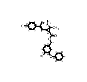 CC1(C)C(/C=C(\Br)c2ccc(Cl)cc2)C1C(=O)OCc1ccc(F)c(Oc2ccccc2)c1